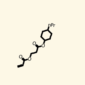 C=CC(=O)OCCC(=O)OC1CCC(CCC)CC1